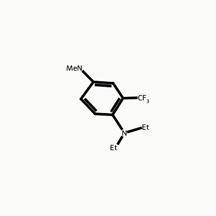 CCN(CC)c1ccc(NC)cc1C(F)(F)F